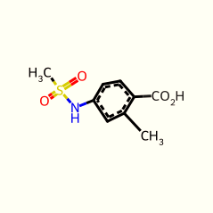 Cc1cc(NS(C)(=O)=O)ccc1C(=O)O